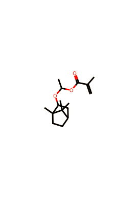 C=C(C)C(=O)OC(C)OC1CC2CCC1(C)C2(C)C